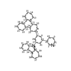 c1cncc(-c2cc(-c3ccc4c5ccccc5c5ccccc5c4c3)cc(-n3c4ccccc4c4ccccc43)c2)c1